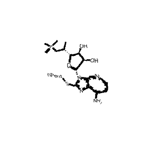 C=P(C)(C)CC(C)[C@H]1O[C@@H](n2c(SCCCCC)nc3c(N)ccnc32)[C@H](O)[C@@H]1O